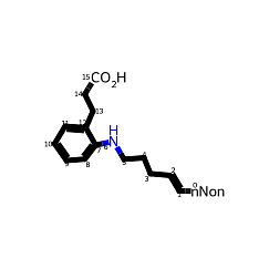 CCCCCCCCCC=CCCCNc1ccccc1CCC(=O)O